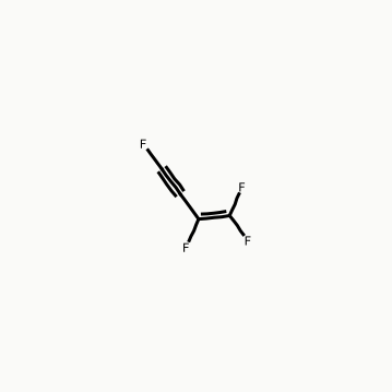 FC#CC(F)=C(F)F